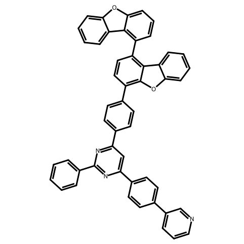 c1ccc(-c2nc(-c3ccc(-c4cccnc4)cc3)cc(-c3ccc(-c4ccc(-c5cccc6oc7ccccc7c56)c5c4oc4ccccc45)cc3)n2)cc1